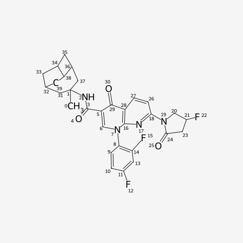 CC1(NC(=O)c2cn(-c3ccc(F)cc3F)c3nc(N4CC(F)CC4=O)ccc3c2=O)CC2CC3CC(C1)C3C2